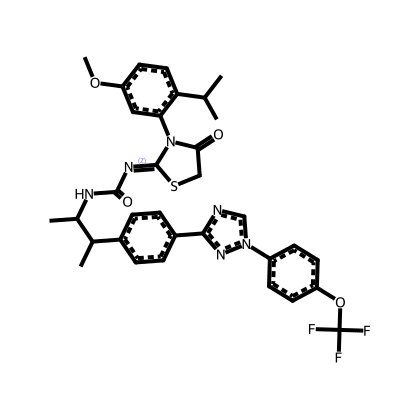 COc1ccc(C(C)C)c(N2C(=O)CS/C2=N\C(=O)NC(C)C(C)c2ccc(-c3ncn(-c4ccc(OC(F)(F)F)cc4)n3)cc2)c1